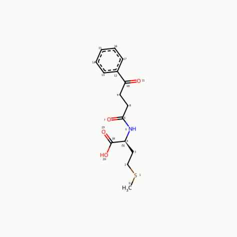 CSCC[C@H](NC(=O)CCC(=O)c1ccccc1)C(=O)O